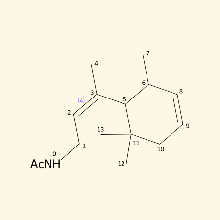 CC(=O)NC/C=C(/C)C1C(C)C=CCC1(C)C